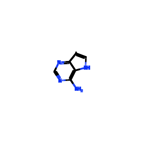 Nc1ncnc2[c]c[nH]c12